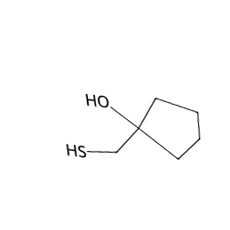 OC1(CS)CCCC1